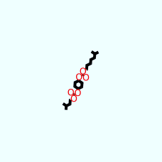 CC(C)CCCCCOC(=O)OC1CCC(OC(=O)OCCC(C)C)CC1